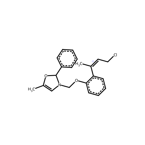 CC1=CN(COc2ccccc2/C(C)=C\CCl)C(c2ccccc2)O1